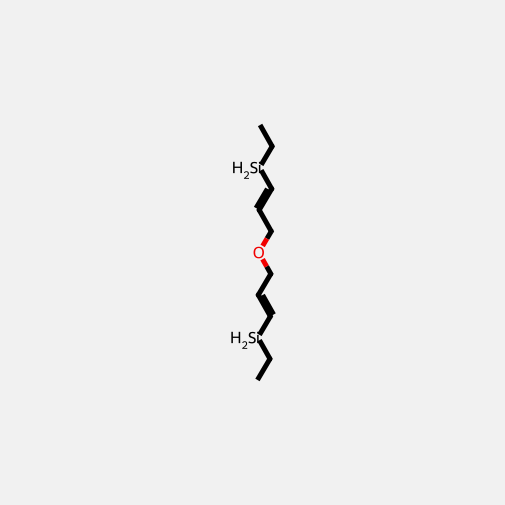 CC[SiH2]C=CCOCC=C[SiH2]CC